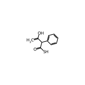 C=C(O)C(C(=O)S)c1ccccc1